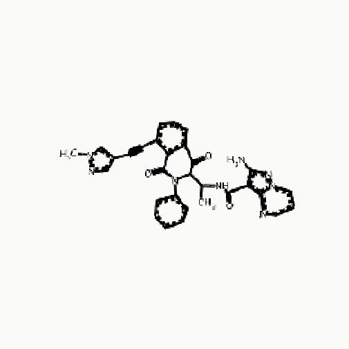 CC(NC(=O)c1c(N)nn2cccnc12)C1C(=O)c2cccc(C#Cc3cnn(C)c3)c2C(=O)N1c1ccccc1